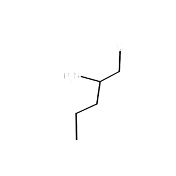 CCCC(N)C[O]